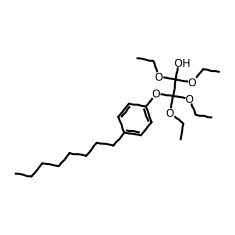 CCCCCCCCc1ccc(OC(OCC)(OCC)C(O)(OCC)OCC)cc1